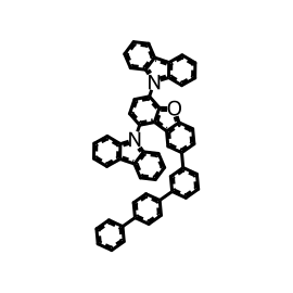 c1ccc(-c2ccc(-c3cccc(-c4ccc5oc6c(-n7c8ccccc8c8ccccc87)ccc(-n7c8ccccc8c8ccccc87)c6c5c4)c3)cc2)cc1